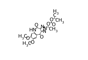 COc1cc2[nH]c(=O)c3nn(C(C)OC(=O)OC(C)C)nc3c(=O)c2cc1OC